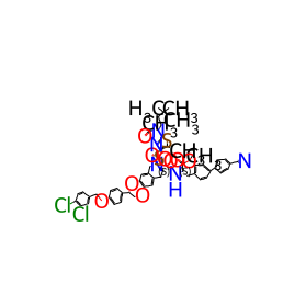 COC(=O)[C@H](Cc1ccc(-c2ccc(C#N)cc2)cc1)NC(=O)[C@@H]1Cc2cc3c(cc2CN1S(=O)(=O)c1nc(N(CCC(C)(C)C)C(C)=O)sc1C)OC(c1ccc(OCc2ccc(Cl)c(Cl)c2)cc1)CO3